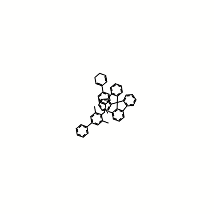 Cc1cc(-c2ccccc2)cc(C)c1N(c1ccc(C2=CCCC=C2)cc1)c1cccc2c1C1(c3ccccc3-c3ccccc31)c1ccccc1-2